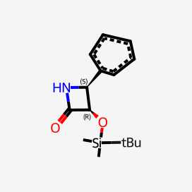 CC(C)(C)[Si](C)(C)O[C@H]1C(=O)N[C@H]1c1ccccc1